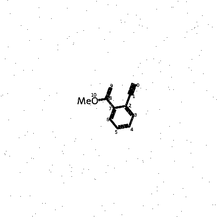 C#Cc1ccccc1C(=C)OC